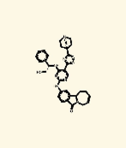 O=C1c2ccc(Nc3ncc(-c4nc(C56CCN(CC5)CC6)no4)c(N[C@H](CO)c4ccccc4)n3)cc2C2CCC=CCN12